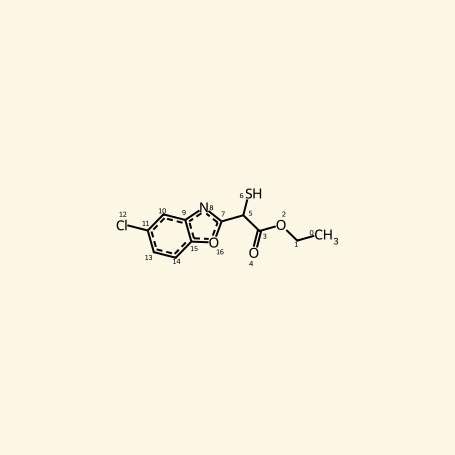 CCOC(=O)C(S)c1nc2cc(Cl)ccc2o1